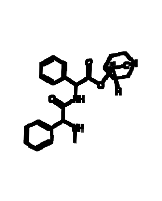 CNC(C(=O)NC(C(=O)O[C@H]1CN2CCC1CC2)c1ccccc1)c1ccccc1